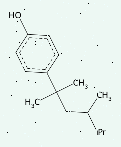 CC(C)C(C)CC(C)(C)c1ccc(O)cc1